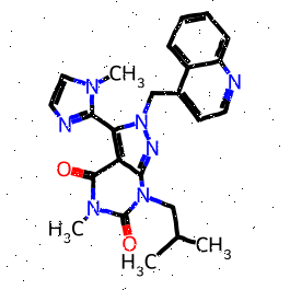 CC(C)Cn1c(=O)n(C)c(=O)c2c(-c3nccn3C)n(Cc3ccnc4ccccc34)nc21